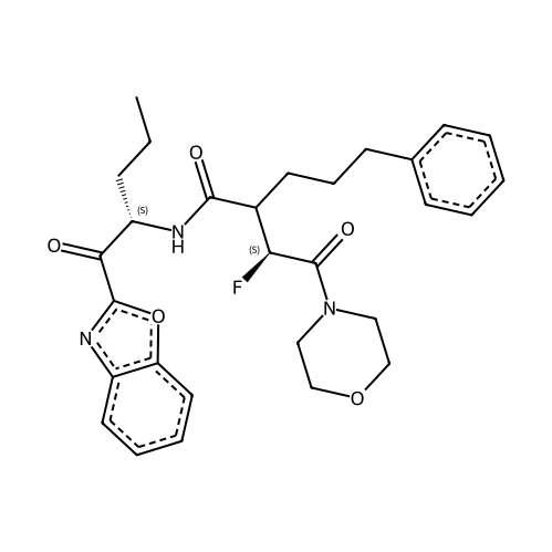 CCC[C@H](NC(=O)C(CCCc1ccccc1)[C@H](F)C(=O)N1CCOCC1)C(=O)c1nc2ccccc2o1